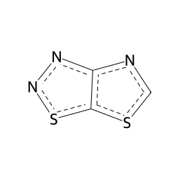 c1nc2nnsc2s1